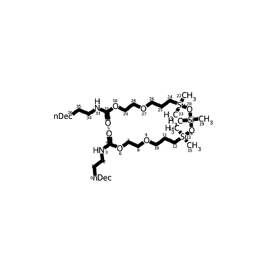 CCCCCCCCCCCCNC(=O)OCCOCCC[Si](C)(C)O[Si](C)(C)O[Si](C)(C)CCCOCCOC(=O)NCCCCCCCCCCCC